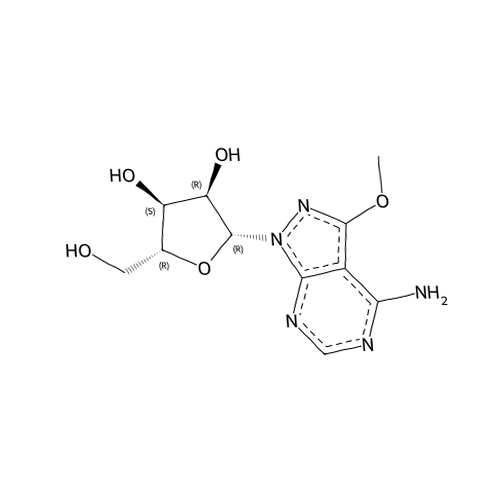 COc1nn([C@@H]2O[C@H](CO)[C@@H](O)[C@H]2O)c2ncnc(N)c12